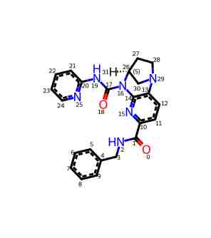 O=C(NCc1ccccc1)c1ccc2c(n1)N(C(=O)Nc1ccccn1)[C@H]1CCN2C1